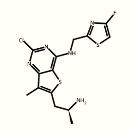 Cc1c(C[C@H](C)N)sc2c(NCc3nc(F)cs3)nc(Cl)nc12